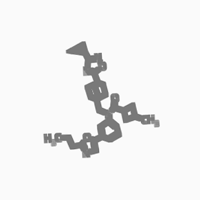 CCCc1ncc(-c2cccc(N(CC34CCC(c5nc(C6CC6)no5)(CC3)CC4)C(=O)C3CC(C)C3)c2)o1